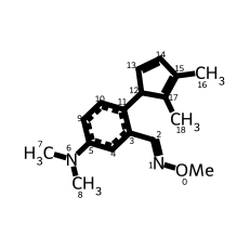 CON=Cc1cc(N(C)C)ccc1C1C=CC(C)=C1C